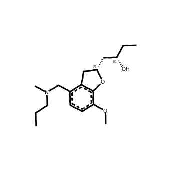 CCCN(C)Cc1ccc(OC)c2c1C[C@H](C[C@@H](O)CC)O2